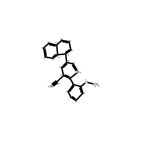 COc1ccccc1-c1ncc(-c2cccc3ccccc23)cc1C#N